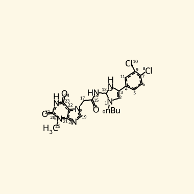 CCCCN1C=C(c2ccc(Cl)c(Cl)c2)NC1NC(=O)Cn1cnc2c1c(=O)[nH]c(=O)n2C